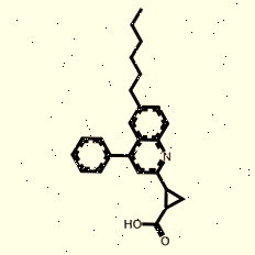 CCCCCCc1ccc2nc(C3CC3C(=O)O)cc(-c3ccccc3)c2c1